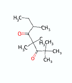 CCC(C)C(=O)C(C)(C)C(=O)C(C)(C)C